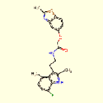 Cc1nc2cc(OCC(=O)NCCc3c(C)[nH]c4c(F)ccc(C)c34)ccc2s1